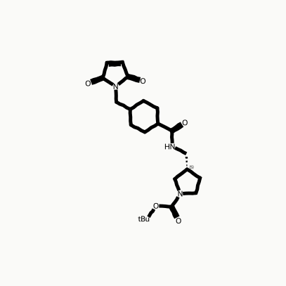 CC(C)(C)OC(=O)N1CC[C@@H](CNC(=O)C2CCC(CN3C(=O)C=CC3=O)CC2)C1